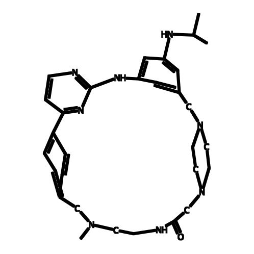 CC(C)Nc1cc2cc(c1)Nc1nccc(n1)-c1ccc(cc1)CN(C)CCNC(=O)CN1CCN(CC1)C2